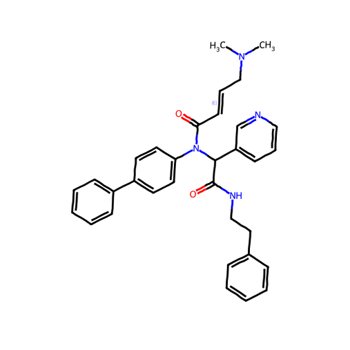 CN(C)C/C=C/C(=O)N(c1ccc(-c2ccccc2)cc1)C(C(=O)NCCc1ccccc1)c1cccnc1